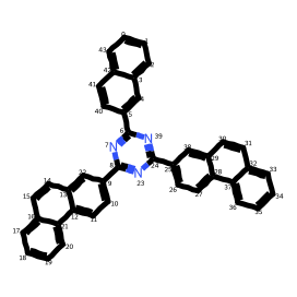 c1ccc2cc(-c3nc(-c4ccc5c(ccc6ccccc65)c4)nc(-c4ccc5c(ccc6ccccc65)c4)n3)ccc2c1